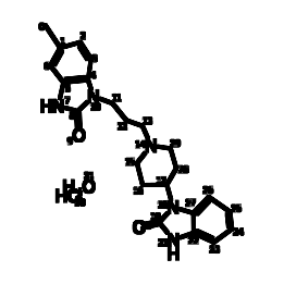 Cc1ccc2c(c1)[nH]c(=O)n2CCCN1CCC(n2c(=O)[nH]c3ccccc32)CC1.Cl.O